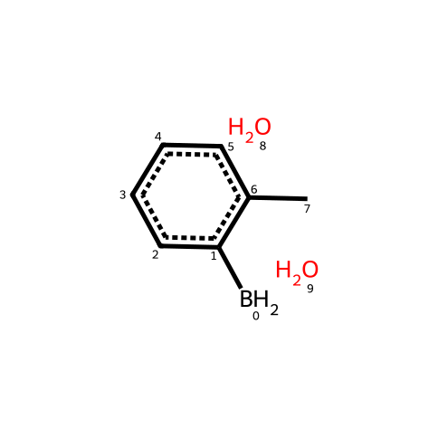 Bc1ccccc1C.O.O